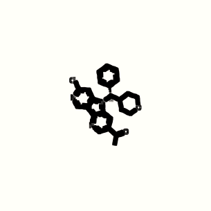 CC(=O)c1cnc2c3cnc(Cl)cc3n([C@H](c3ccccc3)C3CCOCC3)c2c1